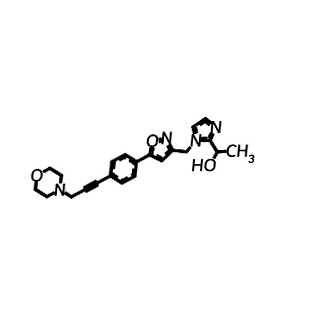 CC(O)c1nccn1Cc1cc(-c2ccc(C#CCN3CCOCC3)cc2)on1